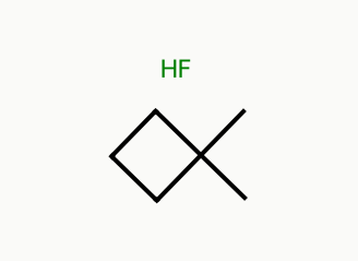 CC1(C)CCC1.F